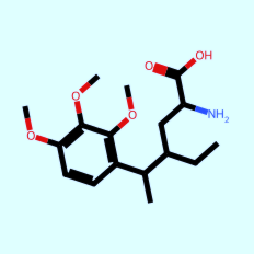 CCC(CC(N)C(=O)O)C(C)c1ccc(OC)c(OC)c1OC